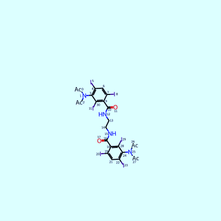 CC(=O)N(C(C)=O)c1c(I)cc(I)c(C(=O)NCCNC(=O)c2c(I)cc(I)c(N(C(C)=O)C(C)=O)c2I)c1I